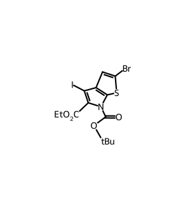 CCOC(=O)c1c(I)c2cc(Br)sc2n1C(=O)OC(C)(C)C